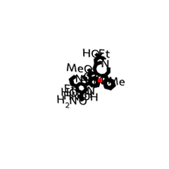 CC[C@]1(O)CC2CN(CCc3c([nH]c4ccccc34)[C@@](C(=O)OC)(c3cc4c(cc3OC)N(C)[C@H]3[C@@](O)(C(=O)NN)[C@H](O)[C@]5(CC)C=CCN6CC[C@]43[C@@H]65)C2)C1